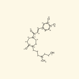 CN(CCO)CCCN1CCN(C(=O)C=Cc2ccc(Cl)c(Cl)c2)CCC1=O